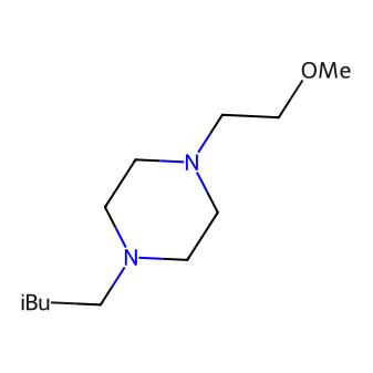 CCC(C)CN1CCN(CCOC)CC1